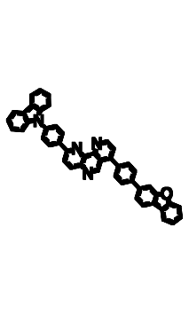 c1ccc2c(c1)oc1cc(-c3ccc(-c4ccnc5c4cnc4ccc(-c6ccc(-n7c8ccccc8c8ccccc87)cc6)nc45)cc3)ccc12